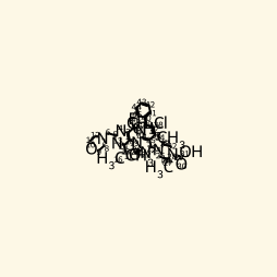 CC(C)c1nc(CN2CCOCC2)nc(C(C)C)c1-n1c(=O)nc(N2C[C@@H](C)N(C(=O)O)C[C@@H]2C)c2cc(Cl)c(-c3ccccc3F)nc21